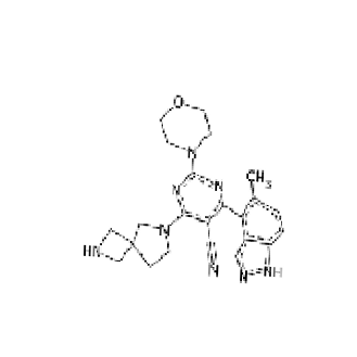 Cc1ccc2[nH]ncc2c1-c1nc(N2CCOCC2)nc(N2CCC3(CNC3)C2)c1C#N